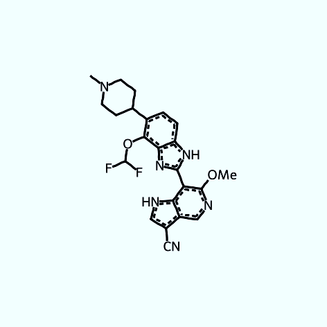 COc1ncc2c(C#N)c[nH]c2c1-c1nc2c(OC(F)F)c(C3CCN(C)CC3)ccc2[nH]1